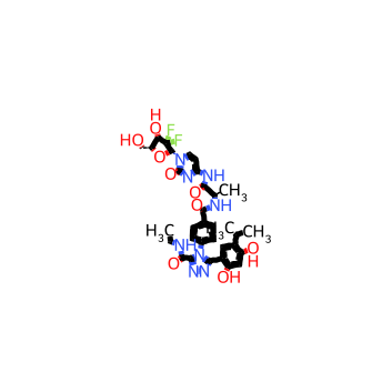 CCNC(=O)c1nnc(-c2cc(C(C)C)c(O)cc2O)n1-c1ccc(C(=O)N[C@@H](C)C(=O)Nc2ccn([C@@H]3O[C@H](CO)C(O)C3(F)F)c(=O)n2)cc1